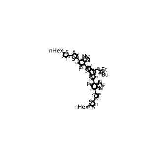 CCCCCCc1ccc(-c2ccc(-c3cc(F)c(-c4cc5c(s4)c4sc(-c6c(F)cc(-c7ccc(-c8ccc(CCCCCC)s8)s7)c7nsnc67)cc4n5CC(CC)CCCC)c4nsnc34)s2)s1